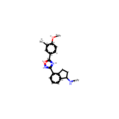 CCCNC1CCc2c(-c3noc(-c4ccc(OC(C)C)c(C#N)c4)n3)cccc21